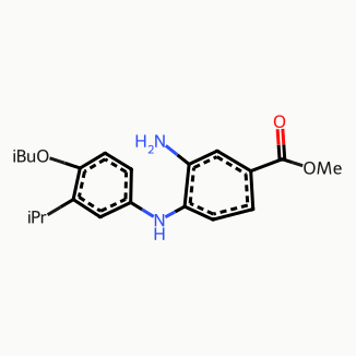 COC(=O)c1ccc(Nc2ccc(OCC(C)C)c(C(C)C)c2)c(N)c1